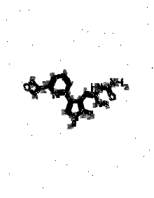 C=N/C(=C\c1c(-c2cccc(C3COC3)n2)cn(C)c1C)NC(N)=O